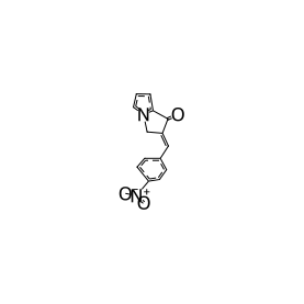 O=C1C(=Cc2ccc([N+](=O)[O-])cc2)Cn2cccc21